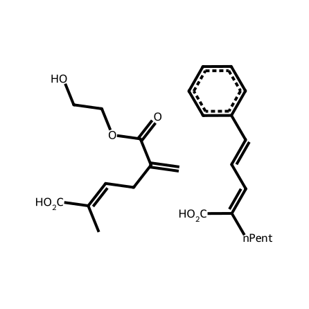 C=C(CC=C(C)C(=O)O)C(=O)OCCO.CCCCCC(=CC=Cc1ccccc1)C(=O)O